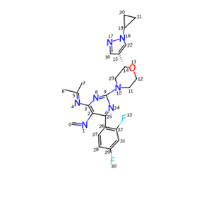 C=Nc1c(N=C(C)C)nc(N2CCO[C@@H](c3cnn(C4CC4)c3)C2)nc1-c1ccc(F)cc1F